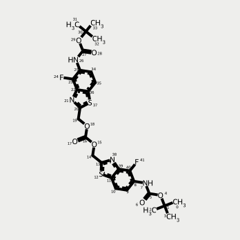 CC(C)(C)OC(=O)Nc1ccc2sc(COC(=O)OCc3nc4c(F)c(NC(=O)OC(C)(C)C)ccc4s3)nc2c1F